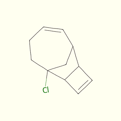 ClC12CCC=CC(C1)C1C=CC12